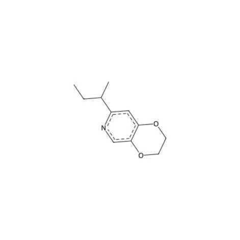 CCC(C)c1cc2c(cn1)OCCO2